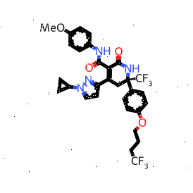 COc1ccc(NC(=O)C2=C(c3ccn(C4CC4)n3)C[C@](c3ccc(OCCCC(F)(F)F)cc3)(C(F)(F)F)NC2=O)cc1